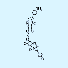 COc1ccc(C2=CN3C(=O)c4cc(OC)c(OCCCOc5cc6c(cc5OC)C(=O)N5C=C(c7ccc(N)cc7)C[C@@]5(C)C=N6)cc4N=C[C@]3(C)C2)cc1